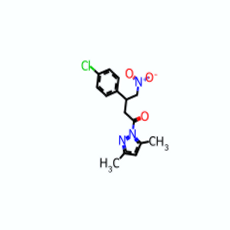 Cc1cc(C)n(C(=O)CC(C[N+](=O)[O-])c2ccc(Cl)cc2)n1